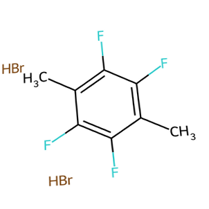 Br.Br.Cc1c(F)c(F)c(C)c(F)c1F